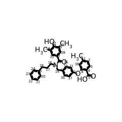 Cc1ccc(C(=O)O)c(Oc2ccc(CN(CCCc3ccccc3)C(=O)c3cc(C)c(O)c(C)c3)cc2)c1